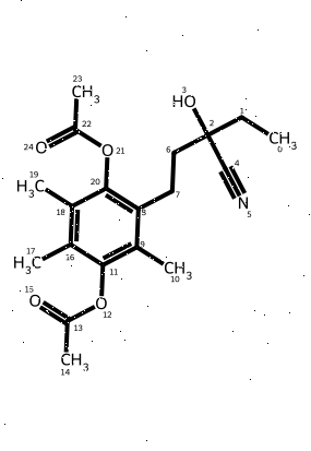 CCC(O)(C#N)CCc1c(C)c(OC(C)=O)c(C)c(C)c1OC(C)=O